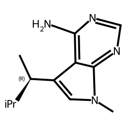 CC(C)[C@@H](C)c1cn(C)c2ncnc(N)c12